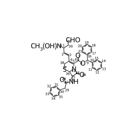 CN(O)C(/C=C/C1=C(C(=O)OC(c2ccccc2)c2ccccc2)N2C(=O)C(NC(=O)Cc3ccccc3)C2SC1)CC=O